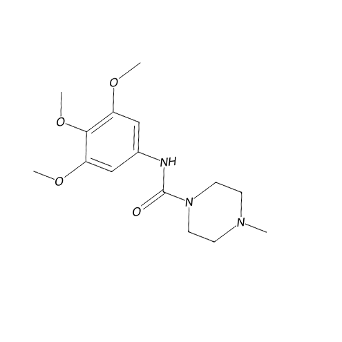 COc1cc(NC(=O)N2CCN(C)CC2)cc(OC)c1OC